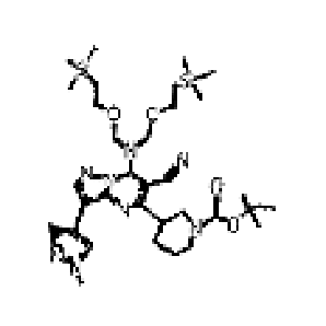 Cn1cc(-c2cnn3c(N(COCC[Si](C)(C)C)COCC[Si](C)(C)C)c(C#N)c(C4CCCN(C(=O)OC(C)(C)C)C4)nc23)cn1